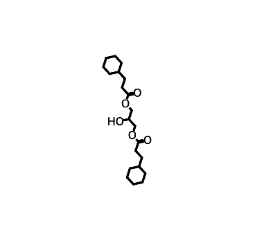 O=C(CCC1CCCCC1)OCC(O)COC(=O)CCC1CCCCC1